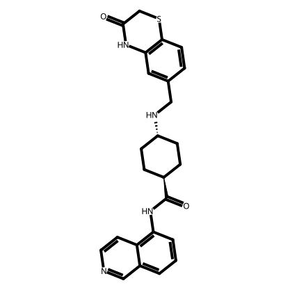 O=C1CSc2ccc(CN[C@H]3CC[C@H](C(=O)Nc4cccc5cnccc45)CC3)cc2N1